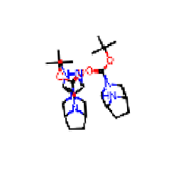 CC(C)(C)OC(=O)N1CC2CCC(C1)N2.Cn1cc(N2C3CCC2CN(C(=O)OC(C)(C)C)C3)cn1